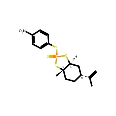 C=C(C)[C@@H]1CC[C@]2(C)SP(=S)(Sc3ccc([N+](=O)[O-])cc3)S[C@H]2C1